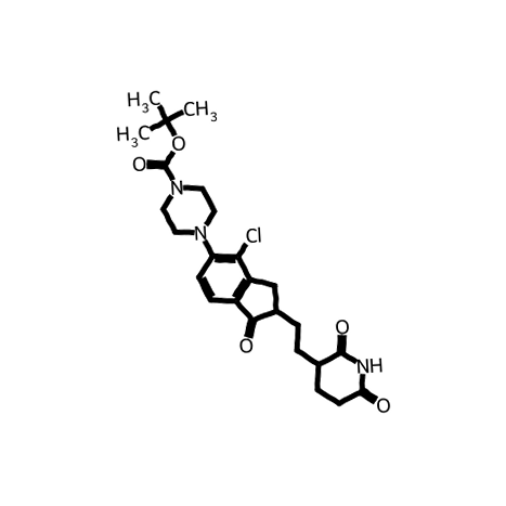 CC(C)(C)OC(=O)N1CCN(c2ccc3c(c2Cl)CC(CCC2CCC(=O)NC2=O)C3=O)CC1